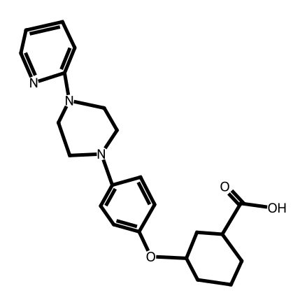 O=C(O)C1CCCC(Oc2ccc(N3CCN(c4ccccn4)CC3)cc2)C1